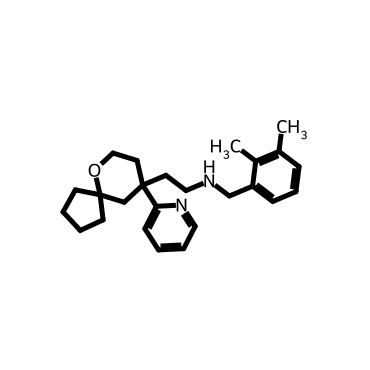 Cc1cccc(CNCCC2(c3ccccn3)CCOC3(CCCC3)C2)c1C